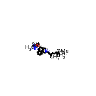 COC(C)(C)CCCC(C)CCN1CCC2(CC[C@H](NC(=O)N(C)C)c3ccccc32)CC1